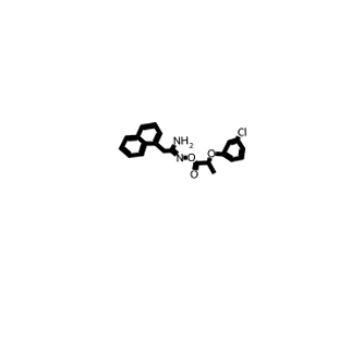 CC(Oc1cccc(Cl)c1)C(=O)O/N=C(\N)Cc1cccc2ccccc12